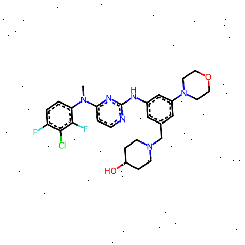 CN(c1ccnc(Nc2cc(CN3CCC(O)CC3)cc(N3CCOCC3)c2)n1)c1ccc(F)c(Cl)c1F